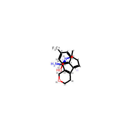 CC1C/C=C(\c2ccc(C(F)(F)F)cc2O)C2=C(COCC2)/C(N)=N\1